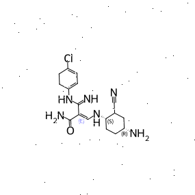 N#CC1C[C@H](N)CC[C@@H]1N/C=C(\C(=N)NC1=CC=C(Cl)CC1)C(N)=O